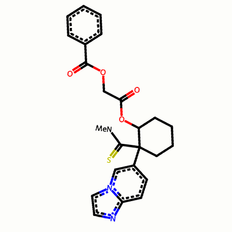 CNC(=S)C1(c2ccc3nccn3c2)CCCCC1OC(=O)COC(=O)c1ccccc1